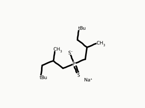 CC(CC(C)(C)C)CP(=S)([S-])CC(C)CC(C)(C)C.[Na+]